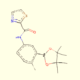 Cc1ccc(NC(=O)c2nccs2)cc1B1OC(C)(C)C(C)(C)O1